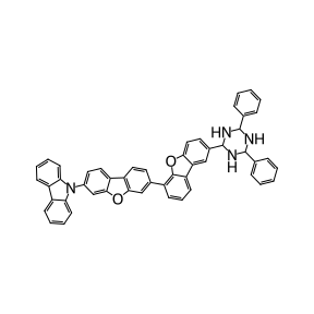 c1ccc(C2NC(c3ccccc3)NC(c3ccc4oc5c(-c6ccc7c(c6)oc6cc(-n8c9ccccc9c9ccccc98)ccc67)cccc5c4c3)N2)cc1